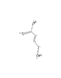 O=C(O)/C=C/[C]O